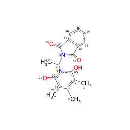 Cc1c(C)c(O)n(C(C)N2C(=O)c3ccccc3C2=O)c(=O)c1C